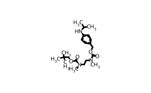 CC(C)Nc1ccc(COC(=O)N(C)CCN(C)C(=O)OCC(C)(C)C)cc1